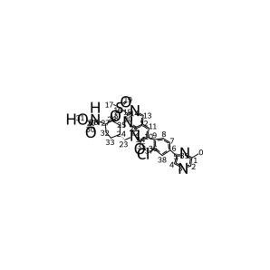 Cc1cncc(-c2ccc(-c3cc4cnc(S(C)(=O)=O)nc4n(C[C@H]4CC[C@H](NC(=O)O)CC4)c3=O)c(Cl)c2)n1